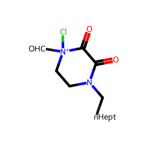 CCCCCCCCN1CC[N+](Cl)(C=O)C(=O)C1=O